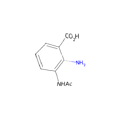 CC(=O)Nc1cccc(C(=O)O)c1N